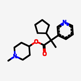 CN1CCC(OC(=O)C(C)(c2cccnc2)C2CCCC2)CC1